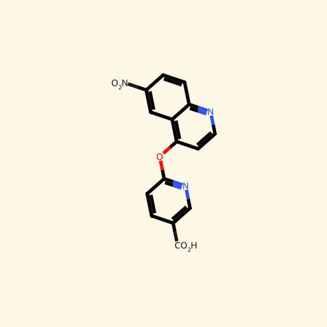 O=C(O)c1ccc(Oc2ccnc3ccc([N+](=O)[O-])cc23)nc1